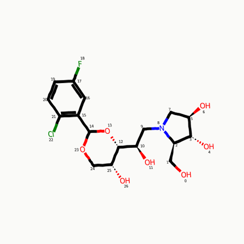 OC[C@@H]1[C@@H](O)[C@H](O)CN1C[C@@H](O)[C@H]1OC(c2cc(F)ccc2Cl)OC[C@H]1O